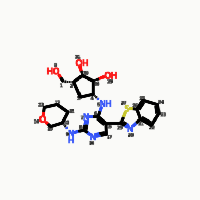 OC[C@H]1C[C@@H](Nc2nc(N[C@H]3CCCOC3)ncc2-c2nc3ccccc3s2)[C@H](O)[C@@H]1O